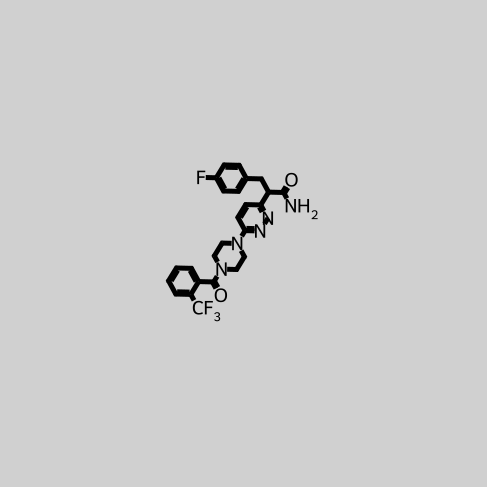 NC(=O)C(Cc1ccc(F)cc1)c1ccc(N2CCN(C(=O)c3ccccc3C(F)(F)F)CC2)nn1